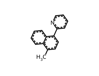 Cc1ccc(-c2ccccn2)c2ccccc12